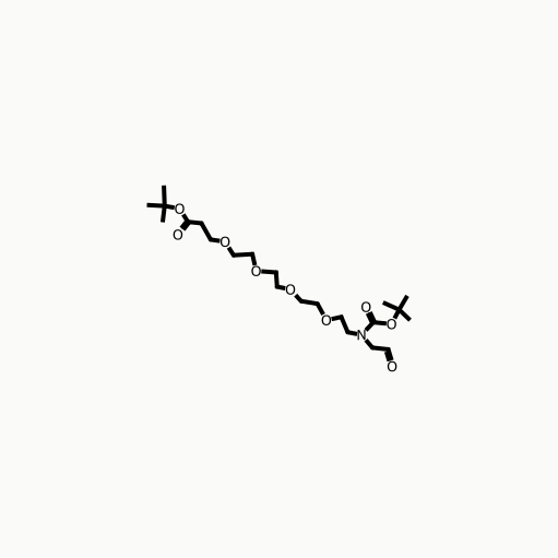 CC(C)(C)OC(=O)CCOCCOCCOCCOCCN(CC=O)C(=O)OC(C)(C)C